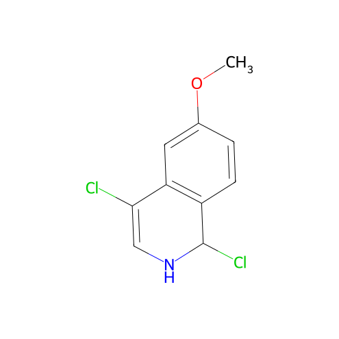 COc1ccc2c(c1)C(Cl)=CNC2Cl